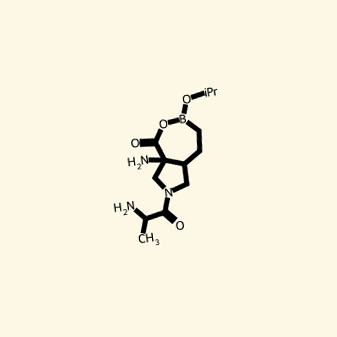 CC(C)OB1CCC2CN(C(=O)C(C)N)CC2(N)C(=O)O1